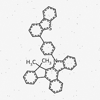 CC1(C)c2ccccc2-c2c1c1c(c3ccccc23)c2ccccc2n1-c1ccc(-c2cccc3c2sc2ccccc23)cc1